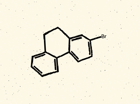 Brc1ccc2c(c1)CCc1ccccc1-2